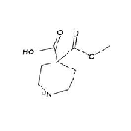 COC(=O)C1(C(=O)O)CCNCC1